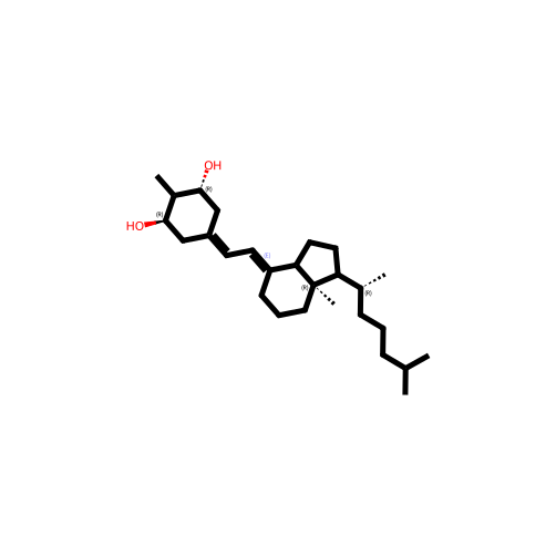 CC(C)CCC[C@@H](C)C1CCC2/C(=C/C=C3C[C@@H](O)C(C)[C@H](O)C3)CCC[C@@]21C